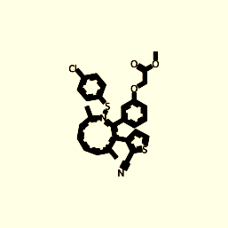 COC(=O)COc1cccc(-c2c(-c3ccsc3C#N)c(C)ccccc(C)n2Sc2ccc(Cl)cc2)c1